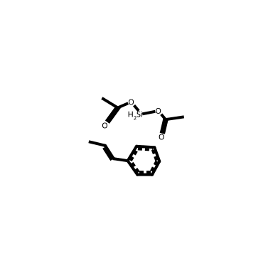 CC(=O)O[SiH2]OC(C)=O.CC=Cc1ccccc1